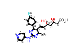 CC(C)c1nc(Nc2ccncc2)nc(-c2ccc(F)cc2)c1/C=C/[C@@H](O)C[C@@H](O)CC(=O)O